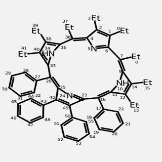 CCC1=C(CC)c2nc1c(CC)c1[nH]c(c(CC)c1CC)c(-c1ccccc1)c1nc(c(-c3ccccc3)c3[nH]c(c2CC)c(CC)c3CC)C(c2ccccc2)=C1c1ccccc1